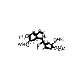 COc1cc2c(C(F)c3ccc(OC)c(OC)c3)nccc2cc1C